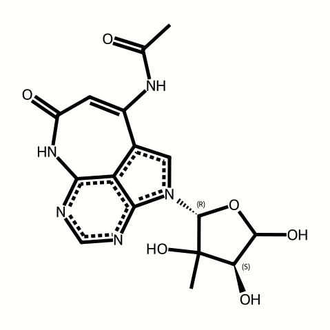 CC(=O)NC1=CC(=O)Nc2ncnc3c2c1cn3[C@@H]1OC(O)[C@@H](O)C1(C)O